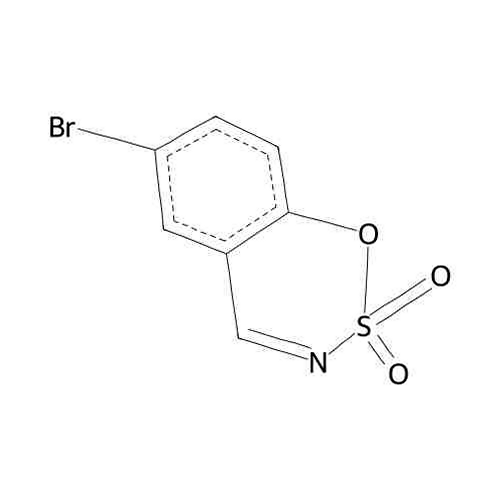 O=S1(=O)N=Cc2cc(Br)ccc2O1